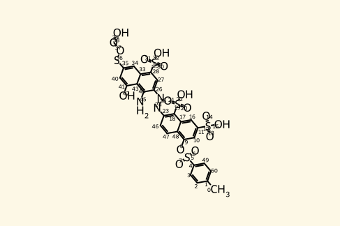 Cc1ccc(S(=O)(=O)Oc2cc(S(=O)(=O)O)cc3c(S(=O)(=O)O)c(N=Nc4cc(S(=O)(=O)O)c5cc(SOOO)cc(O)c5c4N)ccc23)cc1